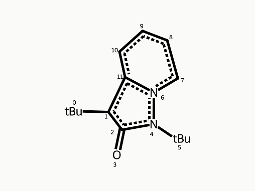 CC(C)(C)c1c(=O)n(C(C)(C)C)n2ccccc12